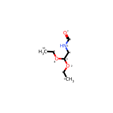 CCOC(CN[C]=O)OCC